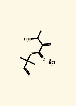 C=CC(C)(C)OC(=O)C(=C)C(C)N.Cl.N